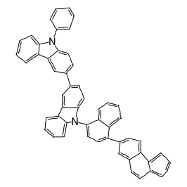 c1ccc(-n2c3ccccc3c3cc(-c4ccc5c(c4)c4ccccc4n5-c4ccc(-c5ccc6c(ccc7ccccc76)c5)c5ccccc45)ccc32)cc1